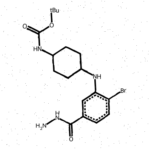 CC(C)(C)OC(=O)NC1CCC(Nc2cc(C(=O)NN)ccc2Br)CC1